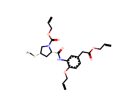 C=CCOC(=O)Cc1ccc(OCC=C)c(NC(=O)[C@@H]2C[C@H](SC(C)=O)CN2C(=O)OCC=C)c1